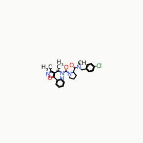 Cc1noc(-c2ccccc2)c1[C@H](C)NC(=O)N1CCCC1C(=O)N(C)Cc1ccc(Cl)cc1